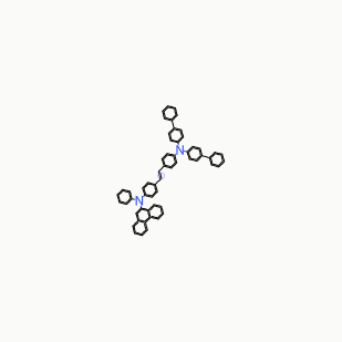 C(=C\c1ccc(N(c2ccccc2)c2cc3ccccc3c3ccccc23)cc1)/c1ccc(N(c2ccc(-c3ccccc3)cc2)c2ccc(-c3ccccc3)cc2)cc1